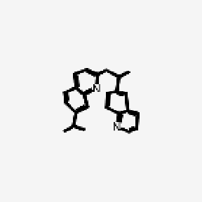 CC(C)c1ccc2ccc(CC(C)c3ccc4ncccc4c3)nc2c1